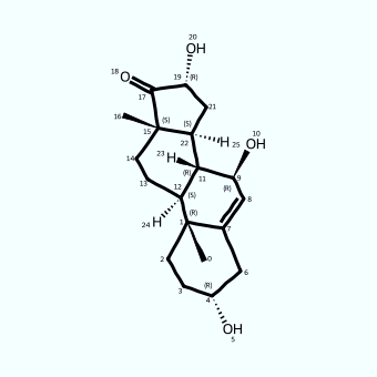 C[C@]12CC[C@@H](O)CC1=C[C@H](O)[C@@H]1[C@@H]2CC[C@]2(C)C(=O)[C@H](O)C[C@@H]12